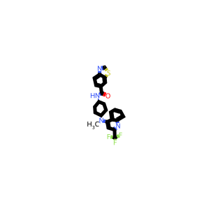 CN(c1cc(C(F)(F)F)nc2ccccc12)[C@H]1CC[C@@H](NC(=O)c2ccc3ncsc3c2)CC1